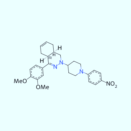 COc1ccc(C2=NN(C3CCN(c4ccc([N+](=O)[O-])cc4)CC3)C[C@@H]3CC=CC[C@H]23)cc1OC